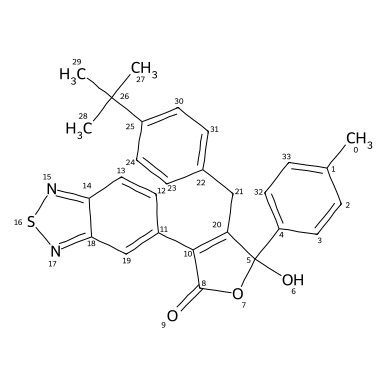 Cc1ccc(C2(O)OC(=O)C(c3ccc4nsnc4c3)=C2Cc2ccc(C(C)(C)C)cc2)cc1